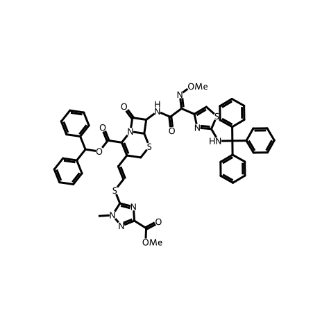 CON=C(C(=O)NC1C(=O)N2C(C(=O)OC(c3ccccc3)c3ccccc3)=C(C=CSc3nc(C(=O)OC)nn3C)CSC12)c1csc(NC(c2ccccc2)(c2ccccc2)c2ccccc2)n1